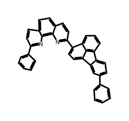 c1ccc(-c2ccc3c(c2)-c2ccc(-c4ccc5ccc6ccc(-c7ccccc7)nc6c5n4)c4cccc-3c24)cc1